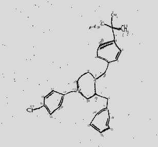 CC(C)(C)c1ccc(CN2CCN(c3ccc(Cl)cc3)CC2Cc2ccccc2)cc1